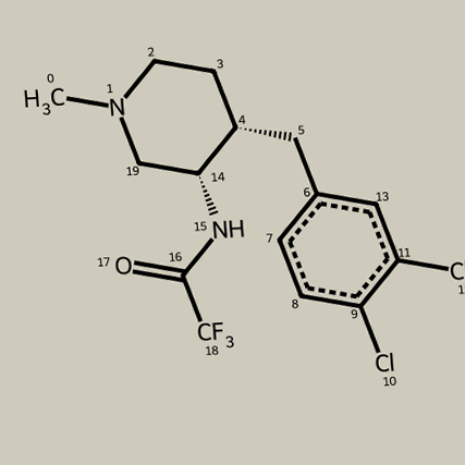 CN1CC[C@H](Cc2ccc(Cl)c(Cl)c2)[C@H](NC(=O)C(F)(F)F)C1